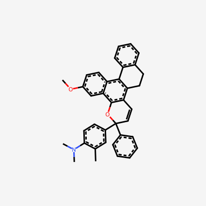 COc1ccc2c3c(c4c(c2c1)OC(c1ccccc1)(c1ccc(N(C)C)c(C)c1)C=C4)CCc1ccccc1-3